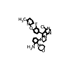 Cc1cccc(Oc2ccc(-c3c4n(c5ncnc(Cl)c35)CCN4c3cccc(N)c3N3CCOCC3)cc2F)n1